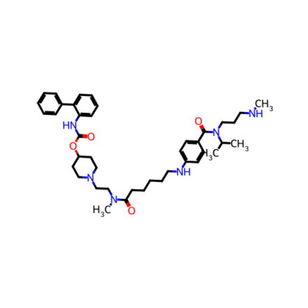 CNCCCN(C(=O)c1ccc(NCCCCCC(=O)N(C)CCN2CCC(OC(=O)Nc3ccccc3-c3ccccc3)CC2)cc1)C(C)C